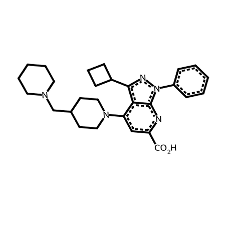 O=C(O)c1cc(N2CCC(CN3CCCCC3)CC2)c2c(C3CCC3)nn(-c3ccccc3)c2n1